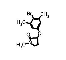 Cc1cc(OC2CCN(C)C2=O)cc(C)c1Br